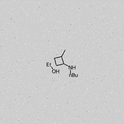 CCCCNC1CCC1C.CCO